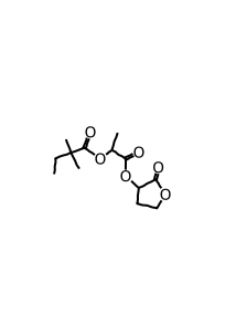 CCC(C)(C)C(=O)OC(C)C(=O)OC1CCOC1=O